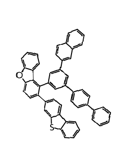 c1ccc(-c2ccc(-c3cc(-c4ccc5ccccc5c4)cc(-c4c(-c5ccc6c(c5)sc5ccccc56)ccc5oc6ccccc6c45)c3)cc2)cc1